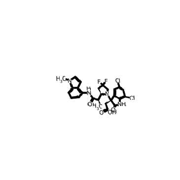 C[C@@H](C(=O)Nc1cccc2c1ccn2C)[C@H]1CC(F)(F)CN1[C@@]1(CC(=O)O)C(=O)Nc2c(Cl)cc(Cl)cc21